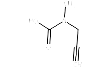 C#CCN(C)C(=O)O